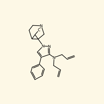 C=CCN(CC=C)c1nn(C2CN3CCC2CC3)cc1-c1ccccc1